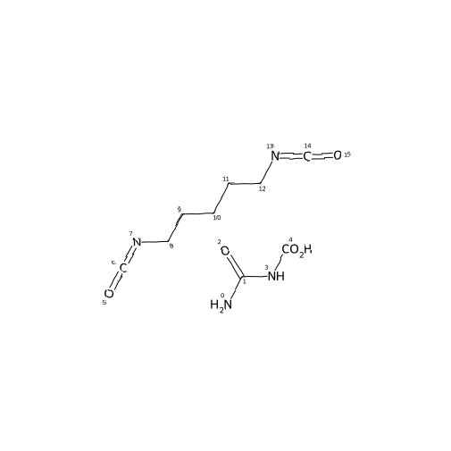 NC(=O)NC(=O)O.O=C=NCCCCCN=C=O